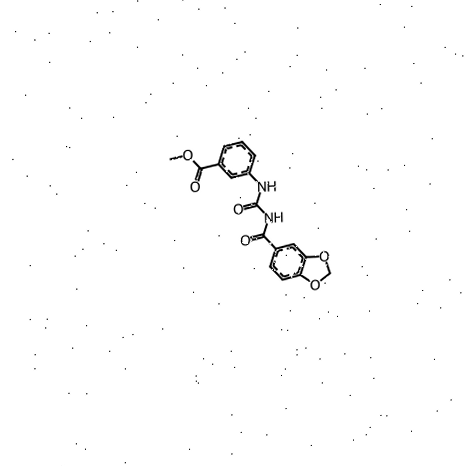 COC(=O)c1cccc(NC(=O)NC(=O)c2ccc3c(c2)OCO3)c1